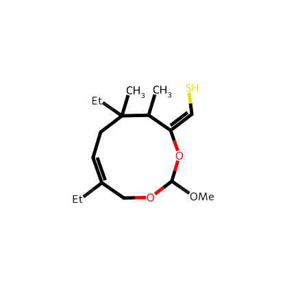 CC/C1=C/CC(C)(CC)C(C)/C(=C\S)OC(OC)OC1